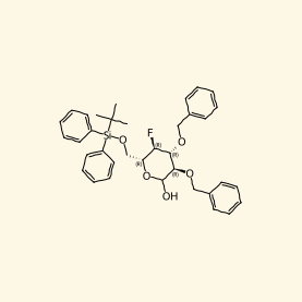 CC(C)(C)[Si](OC[C@H]1OC(O)[C@H](OCc2ccccc2)[C@@H](OCc2ccccc2)[C@@H]1F)(c1ccccc1)c1ccccc1